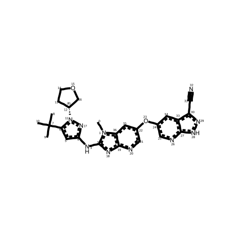 Cn1c(Nc2cc(C(C)(C)C)n([C@@H]3CCOC3)n2)nc2ncc(Oc3cnc4[nH]nc(C#N)c4c3)cc21